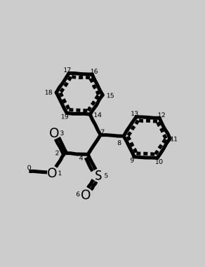 COC(=O)C(=S=O)C(c1ccccc1)c1ccccc1